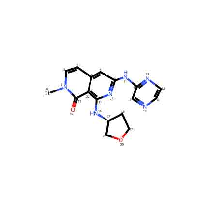 CCn1ccc2cc(Nc3cnccn3)nc(N[C@H]3CCOC3)c2c1=O